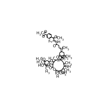 CO[C@H](c1ccc(S(C)(=O)=O)cc1)[C@@H](CF)NC(=O)CCN(C)[C@@H]1C[C@H](O[C@@H]2[C@@H](C)[C@H](O[C@H]3C[C@@](C)(OC)[C@@H](O)[C@H](C)O3)[C@@H](C)C(=O)O[C@H](I)[C@@](C)(O)[C@H](O)[C@@H](C)C(=N)[C@H](C)C[C@@]2(C)OC)O[C@H](C)C1